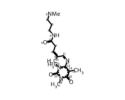 CNCCCNC(=O)C/C=C(C)\C=N/c1c(C)c(=O)n(C)c(=O)n1C